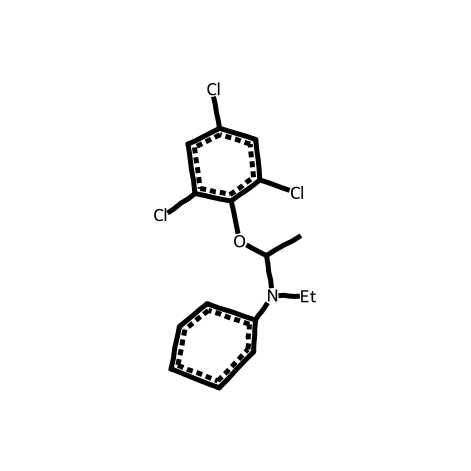 CCN(c1ccccc1)C(C)Oc1c(Cl)cc(Cl)cc1Cl